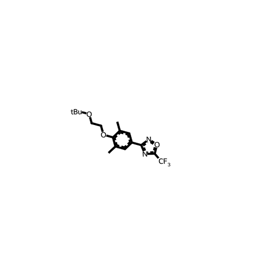 Cc1cc(-c2noc(C(F)(F)F)n2)cc(C)c1OCCOC(C)(C)C